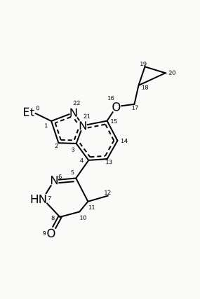 CCc1cc2c(C3=NNC(=O)CC3C)ccc(OCC3CC3)n2n1